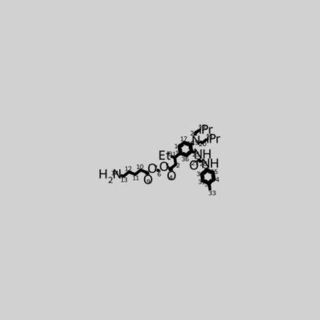 CCC(CC(=O)OCOC(=O)CCCCN)c1ccc(N(CC(C)C)CC(C)C)c(NC(=O)Nc2ccc(C)cc2)c1